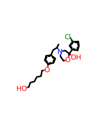 CC(Cc1ccc(OCCCCCCO)cc1)N1CCOC(O)(c2cccc(Cl)c2)C1